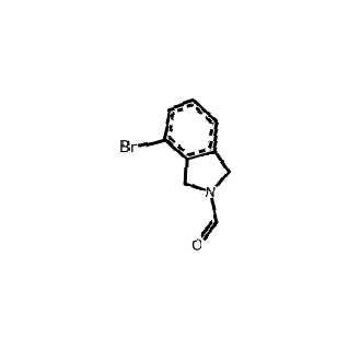 O=CN1Cc2cccc(Br)c2C1